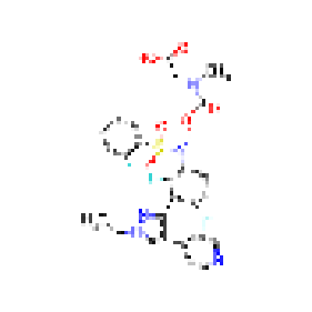 CCn1cc(-c2ccncc2)c(-c2c(F)ccc(N(COC(=O)N(C)CC(=O)O)S(=O)(=O)c3ccccc3F)c2F)n1